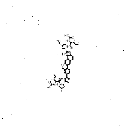 CC[C@@H](C)C(NC(=O)O)C(=O)N1C[C@@H](COC)C[C@H]1c1nc2ccc3cc4c(cc3c2[nH]1)OCc1cc(-c2cnc([C@@H]3C[C@H](C)CN3C(=O)[C@@H](NC(=O)OC)[C@H](C)CC)[nH]2)ccc1-4